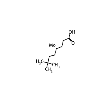 CC(C)(C)CCCCCC(=O)O.[Mo]